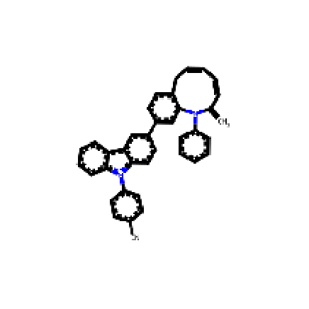 C=C1/C=C\C=C/Cc2ccc(-c3ccc4c(c3)c3ccccc3n4-c3ccc(C#N)cc3)cc2N1c1ccccc1